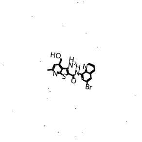 Cc1cc(CO)c2c(N)c(C(=O)Nc3cc(Br)cc4cccnc34)sc2n1